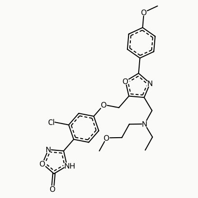 CCN(CCOC)Cc1nc(-c2ccc(OC)cc2)oc1COc1ccc(-c2noc(=O)[nH]2)c(Cl)c1